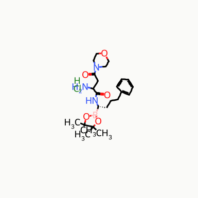 CC1(C)OB([C@@H](CCCc2ccccc2)NC(=O)C(N)CC(=O)N2CCOCC2)OC1(C)C.Cl